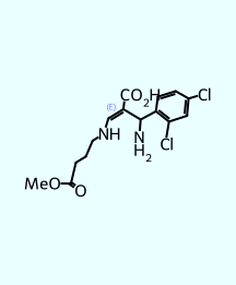 COC(=O)CCCN/C=C(/C(=O)O)C(N)c1ccc(Cl)cc1Cl